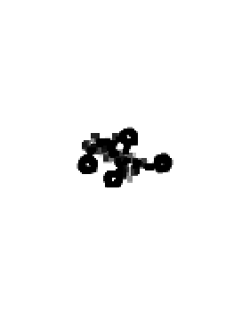 NC(=NC(=O)OCc1ccccc1)[N+]1(CCc2ccccc2)Cc2ccccc2SC(N)(CC(=O)OC(=O)c2ccccc2)C1=O